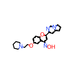 ON=c1cc(-c2cc3cccn3cn2)oc2ccc(OCCN3CCCCC3)cc12